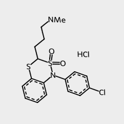 CNCCCC1Sc2ccccc2N(c2ccc(Cl)cc2)S1(=O)=O.Cl